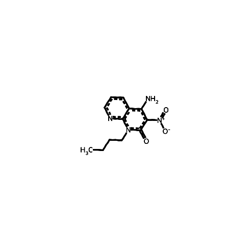 CCCCn1c(=O)c([N+](=O)[O-])c(N)c2cccnc21